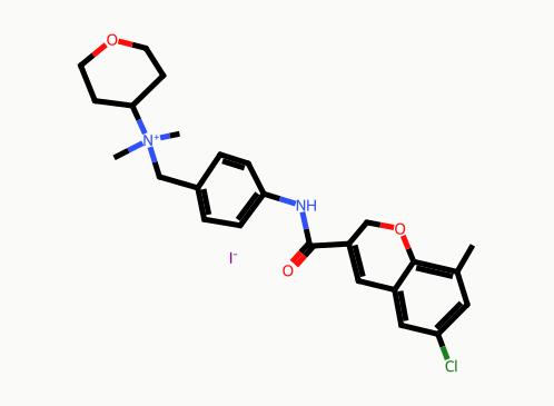 Cc1cc(Cl)cc2c1OCC(C(=O)Nc1ccc(C[N+](C)(C)C3CCOCC3)cc1)=C2.[I-]